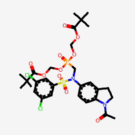 CC(=O)N1CCc2cc(N(CP(=O)(OCOC(=O)C(C)(C)C)OCOC(=O)C(C)(C)C)S(=O)(=O)c3cc(Cl)cc(Cl)c3)ccc21